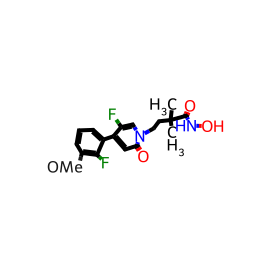 COc1cccc(-c2cc(=O)n(CCC(C)(C)C(=O)NO)cc2F)c1F